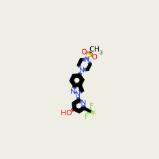 CS(=O)(=O)N1CCN(c2ccc3nn(-c4cc(O)cc(C(F)(F)F)n4)cc3c2)CC1